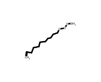 C=CCCCCCCCCCOOO[SiH3]